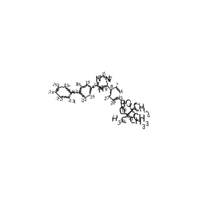 CC1(C)OB(c2ccc(-c3ncnc(-c4ccc(-c5ccccc5)cc4)n3)cc2)OC1(C)C